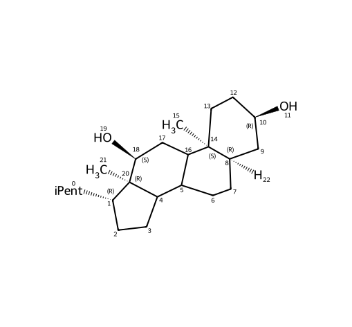 CCCC(C)[C@H]1CCC2C3CC[C@@H]4C[C@H](O)CC[C@]4(C)C3C[C@H](O)[C@@]21C